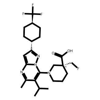 Cc1nc2cc([C@H]3CC[C@H](C(F)(F)F)CC3)nn2c(N2CCC[C@](CF)(C(=O)O)C2)c1C(C)C